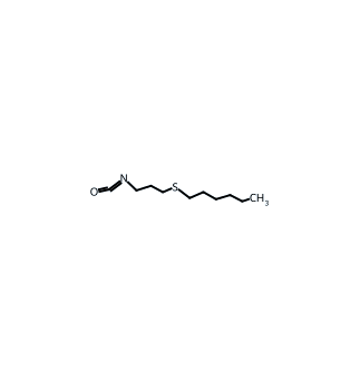 CCCCCCSCCCN=C=O